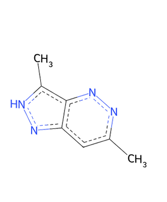 Cc1cc2n[nH]c(C)c2nn1